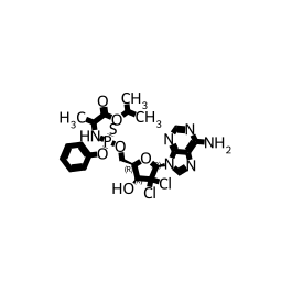 CC(C)OC(=O)C(C)NP(=S)(OC[C@H]1O[C@@H](n2cnc3c(N)ncnc32)C(Cl)(Cl)[C@@H]1O)Oc1ccccc1